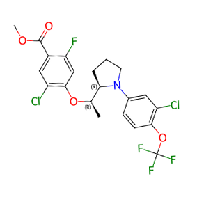 COC(=O)c1cc(Cl)c(O[C@H](C)[C@H]2CCCN2c2ccc(OC(F)(F)F)c(Cl)c2)cc1F